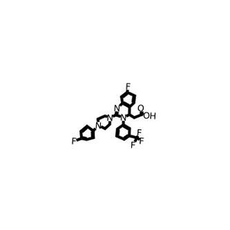 O=C(O)CC1c2ccc(F)cc2N=C(N2CCN(c3ccc(F)cc3)CC2)N1c1cccc(C(F)(F)F)c1